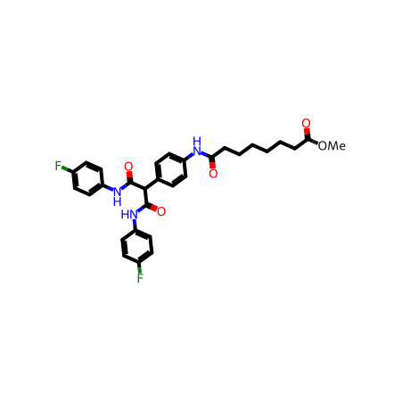 COC(=O)CCCCCCC(=O)Nc1ccc(C(C(=O)Nc2ccc(F)cc2)C(=O)Nc2ccc(F)cc2)cc1